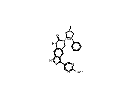 COc1ncc(-c2n[nH]c3cc4c(cc23)CN([C@@H]2CN(C)C[C@H]2c2ccccc2)C(=O)N4)cn1